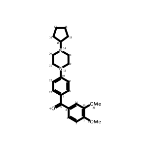 COc1ccc(C(=O)c2ccc(N3CCN(C4CCCC4)CC3)cc2)cc1OC